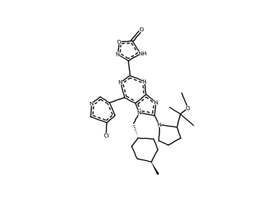 COC(C)(C)C1CCCN1c1nc2nc(-c3noc(=O)[nH]3)nc(-c3cncc(Cl)c3)c2n1C[C@H]1CC[C@H](C)CC1